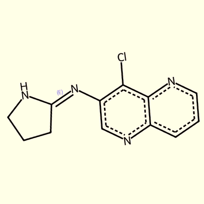 Clc1c(/N=C2\CCCN2)cnc2cccnc12